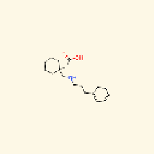 O=C(O)CC1(CNCCCc2ccccc2)CCCCC1